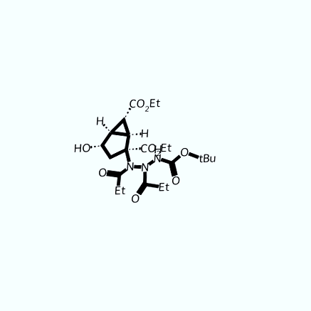 CCOC(=O)[C@H]1[C@H]2[C@@H]1[C@@](C(=O)OCC)(N(C(=O)CC)N(NC(=O)OC(C)(C)C)C(=O)CC)C[C@@H]2O